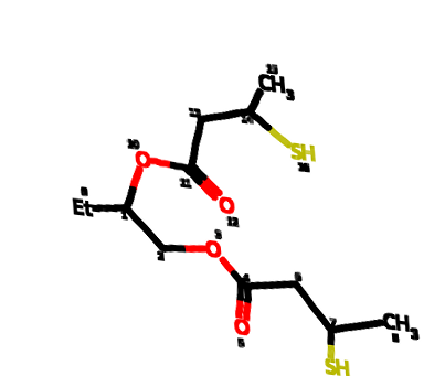 CCC(COC(=O)CC(C)S)OC(=O)CC(C)S